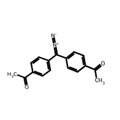 CC(=O)c1ccc(C(=[N+]=[N-])c2ccc(C(C)=O)cc2)cc1